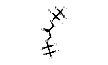 O=C(COC(F)(F)C(F)(F)F)COC(F)(F)C(F)(F)F